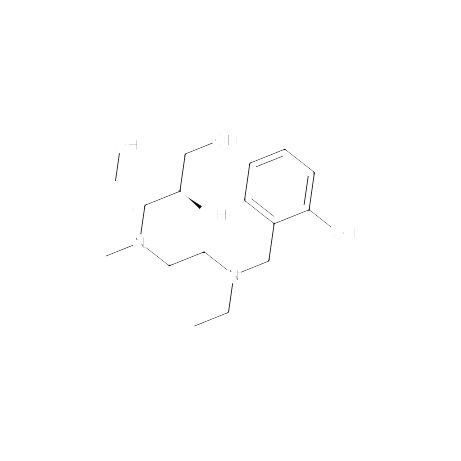 CCN(CCN(C)[C@H](CO)[C@H](O)CO)Cc1ccccc1O